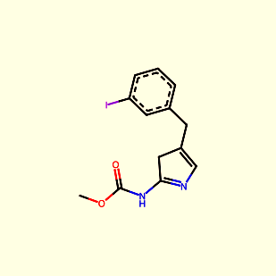 COC(=O)NC1=NC=C(Cc2cccc(I)c2)C1